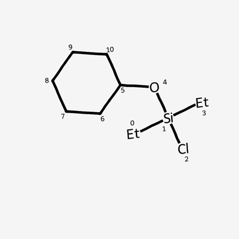 CC[Si](Cl)(CC)OC1CCCCC1